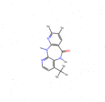 [2H]c1cc2c(nc1[2H])N(C)c1nccc(C([2H])([2H])[2H])c1N([2H])C2=O